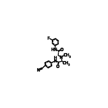 CC(C(=O)Nc1ccc(C#N)cc1)N(C)CC(=O)Nc1cccc(F)c1